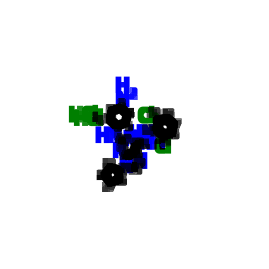 Cl.Cl.NC1CCC(Nc2nc(NNc3c(Cl)cccc3Cl)c3ncn(C4CCCC4)c3n2)CC1